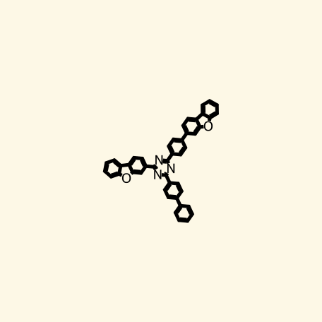 c1ccc(-c2ccc(-c3nc(-c4ccc(-c5ccc6c(c5)oc5ccccc56)cc4)nc(-c4ccc5c(c4)oc4ccccc45)n3)cc2)cc1